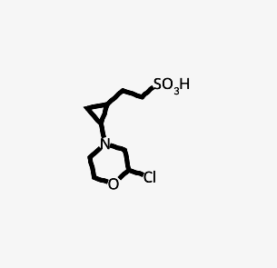 O=S(=O)(O)CCC1CC1N1CCOC(Cl)C1